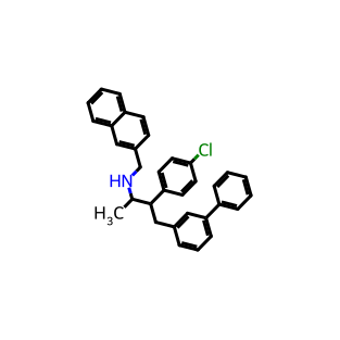 CC(NCc1ccc2ccccc2c1)C(Cc1cccc(-c2ccccc2)c1)c1ccc(Cl)cc1